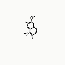 COc1cc2ccc(C)c(OC)c2cc1C